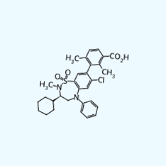 Cc1ccc(C(=O)O)c(C)c1-c1cc2c(cc1Cl)N(c1ccccc1)C[C@@H](C1CCCCC1)N(C)S2(=O)=O